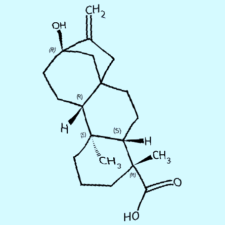 C=C1CC23CC[C@H]4[C@@](C)(CCC[C@@]4(C)C(=O)O)[C@@H]2CC[C@@]1(O)C3